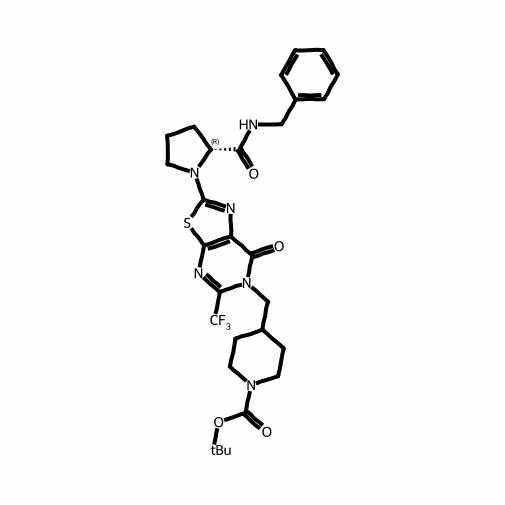 CC(C)(C)OC(=O)N1CCC(Cn2c(C(F)(F)F)nc3sc(N4CCC[C@@H]4C(=O)NCc4ccccc4)nc3c2=O)CC1